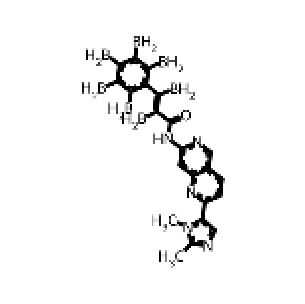 B/C(C(=O)Nc1cc2nc(-c3cnc(C)n3C)ccc2cn1)=C(/B)c1c(B)c(B)c(B)c(B)c1B